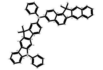 CC1(C)c2cc(N(c3ccccc3)c3ccc4c5c(ccc4c3)-c3cc4ccccc4cc3C5(C)C)ccc2-c2cc3c(cc21)c1ccccc1n3-c1ccccc1